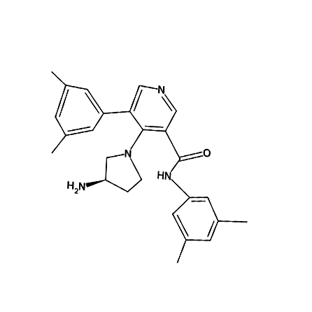 Cc1cc(C)cc(NC(=O)c2cncc(-c3cc(C)cc(C)c3)c2N2CC[C@@H](N)C2)c1